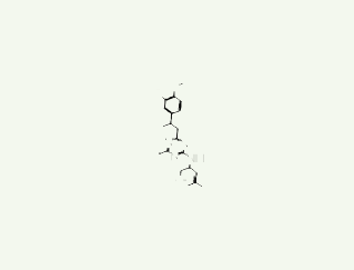 COc1ccc(C(C)Cc2nc(Cl)nc(NC(CO)CC(C)C)n2)cc1F